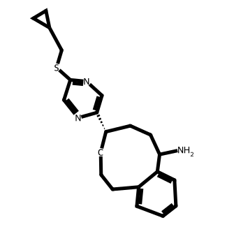 NC1CC[C@@H](c2cnc(SCC3CC3)cn2)CCCc2ccccc21